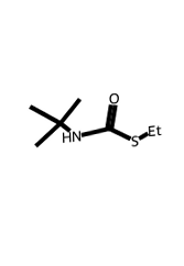 CCSC(=O)NC(C)(C)C